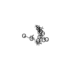 C=C1CC(CCC=O)O[C@H]1CC[C@H]1C[C@@H](C)C(=C)[C@@H](C[C@@H]2OC(C[C@@H](CO[Si](C)(C)C(C)(C)C)O[Si](C)(C)C(C)(C)C)[C@H](OC)C2CC(=O)OC)O1